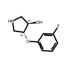 O[C@@H]1CNC[C@H]1Oc1cccc(F)c1